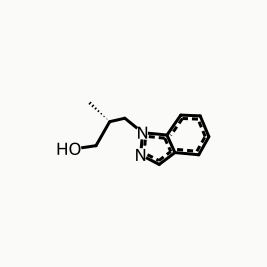 C[C@@H](CO)Cn1ncc2ccccc21